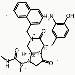 CNC(=O)N(C)N1CC(=O)N2[C@@H](Cc3ccc(O)c(N)c3)C(=O)N(Cc3cccc4ccccc34)C[C@@H]21